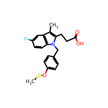 CSOc1ccc(Cn2c(CCC(=O)O)c(C)c3cc(F)ccc32)cc1